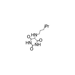 CC(C)CCCNC1C(=O)NC(=O)NC1=O